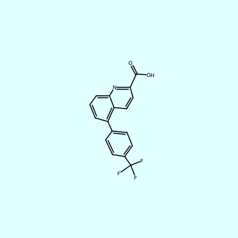 O=C(O)c1ccc2c(-c3ccc(C(F)(F)F)cc3)cccc2n1